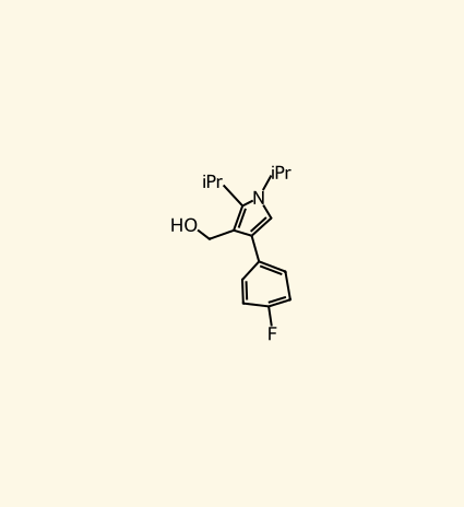 CC(C)c1c(CO)c(-c2ccc(F)cc2)cn1C(C)C